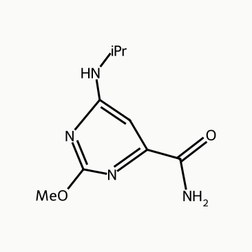 COc1nc(NC(C)C)cc(C(N)=O)n1